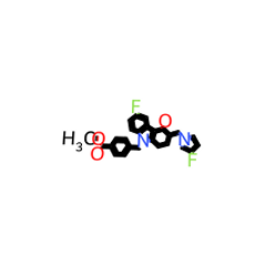 COC(=O)c1ccc(Cn2c3c(c4cc(F)ccc42)C(=O)C(CN2CCC(F)C2)CC3)cc1